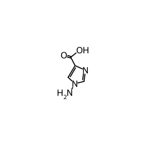 Nn1cnc(C(=O)O)c1